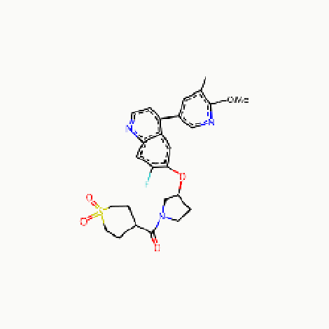 COc1ncc(-c2ccnc3cc(F)c(O[C@H]4CCN(C(=O)C5CCS(=O)(=O)CC5)C4)cc23)cc1C